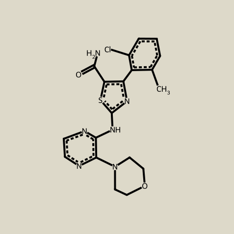 Cc1cccc(Cl)c1-c1nc(Nc2nccnc2N2CCOCC2)sc1C(N)=O